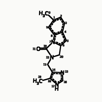 Cc1ccc2cc3n(c2c1)C(=O)N(Cc1nc[nH]c1C)C3